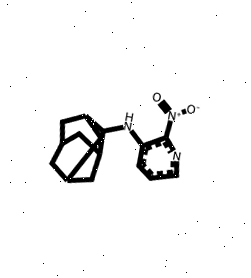 O=[N+]([O-])c1ncccc1NC1C2CC3CC(C2)CC1C3